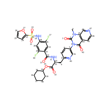 Cn1c(=O)n(-c2ccc(C[C@H](NC(=O)c3cc(F)c(NS(=O)(=O)c4ccco4)cc3F)C(=O)OC3CCCCC3)nc2)c(=O)c2ccncc21